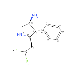 N[C@@H]1CN[C@H](CC(F)F)[C@H]1c1ccccc1